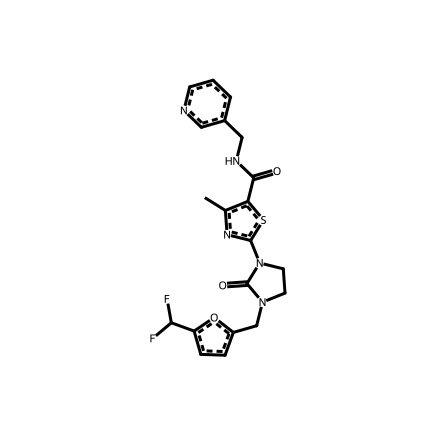 Cc1nc(N2CCN(Cc3ccc(C(F)F)o3)C2=O)sc1C(=O)NCc1cccnc1